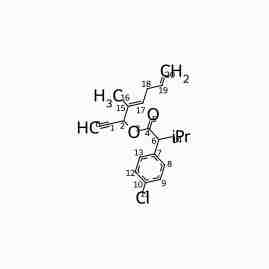 C#CC(OC(=O)C(c1ccc(Cl)cc1)C(C)C)C(C)=CCC=C